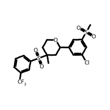 CC1(S(=O)(=O)c2cccc(C(F)(F)F)c2)CCOC(c2cc(Cl)cc(S(C)(=O)=O)c2)C1